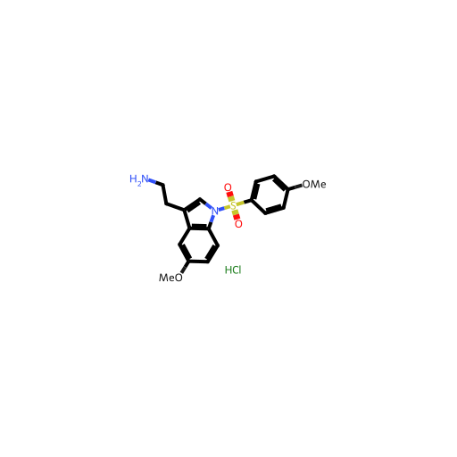 COc1ccc(S(=O)(=O)n2cc(CCN)c3cc(OC)ccc32)cc1.Cl